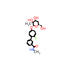 CNC(=O)c1cccc(C2=CC=C(O[C@H]3O[C@H](CO)C[C@H](O)[C@]3(C)O)CC=C2F)c1